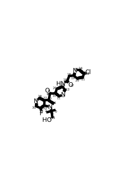 CC(C)(CO)n1cc(C(=O)c2cncc(NC(=O)Cc3ccc(Cl)cn3)c2)c2cncc(F)c21